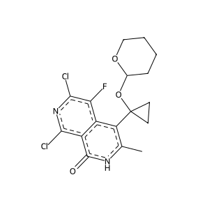 Cc1[nH]c(=O)c2c(Cl)nc(Cl)c(F)c2c1C1(OC2CCCCO2)CC1